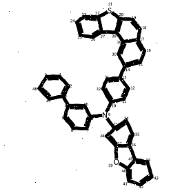 c1ccc(-c2cccc(N(c3ccc(-c4ccc5ccc6sc7ccccc7c6c5c4)cc3)c3ccc4c(c3)oc3ccccc34)c2)cc1